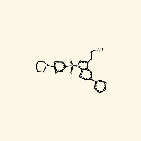 O=C(O)CCc1cn(S(=O)(=O)c2ccc(N3CCOCC3)nc2)c2ccc(-c3ccccc3)cc12